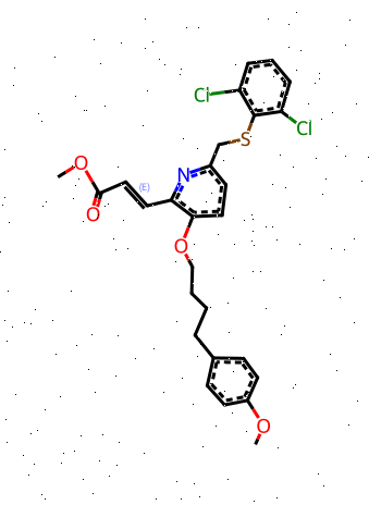 COC(=O)/C=C/c1nc(CSc2c(Cl)cccc2Cl)ccc1OCCCCc1ccc(OC)cc1